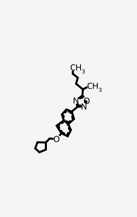 CCCCC(C)c1nc(-c2ccc3cc(OCC4CCCC4)ccc3c2)no1